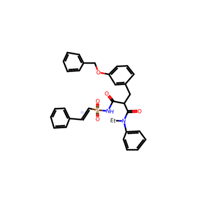 CCN(C(=O)C(Cc1cccc(OCc2ccccc2)c1)C(=O)NS(=O)(=O)/C=C/c1ccccc1)c1ccccc1